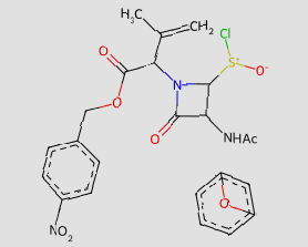 C=C(C)C(C(=O)OCc1ccc([N+](=O)[O-])cc1)N1C(=O)C(NC(C)=O)C1[S+]([O-])Cl.c1cc2cc(c1)O2